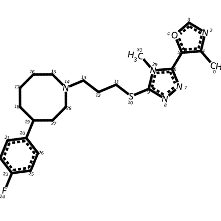 Cc1ncoc1-c1nnc(SCCCN2CCCCC(c3ccc(F)cc3)CC2)n1C